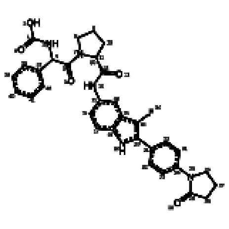 O=C(O)NC(C(=O)N1CCC[C@H]1C(=O)Nc1ccc2[nH]c(-c3ccc(N4CCCC4=O)cc3)c(F)c2c1)c1ccccc1